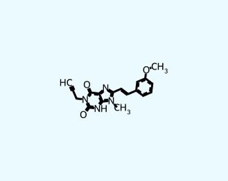 C#CCn1c(=O)[nH]c2c(nc(C=Cc3cccc(OC)c3)n2C)c1=O